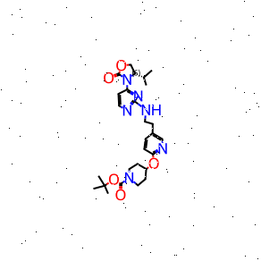 CC(C)[C@H]1COC(=O)N1c1ccnc(NCCc2ccc(OC3CCN(C(=O)OC(C)(C)C)CC3)nc2)n1